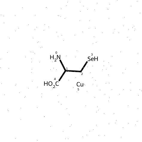 NC(C[SeH])C(=O)O.[Cu]